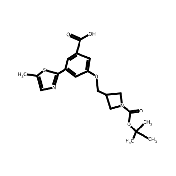 Cc1cnc(-c2cc(OCC3CN(C(=O)OC(C)(C)C)C3)cc(C(=O)O)c2)s1